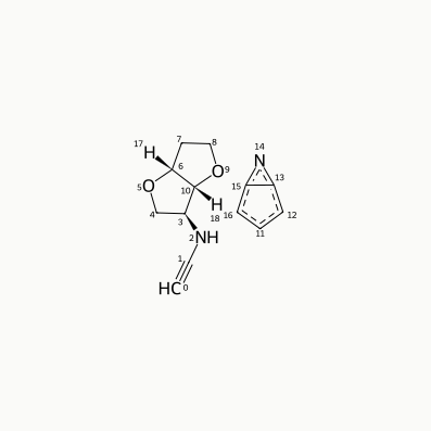 C#CN[C@H]1CO[C@@H]2CCO[C@H]12.c1cc2nc-2c1